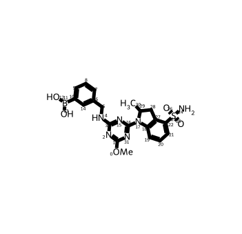 COc1nc(NCc2cccc(B(O)O)c2)nc(N2c3cccc(S(N)(=O)=O)c3CC2C)n1